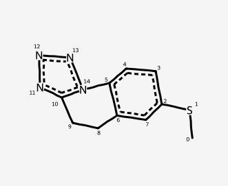 CSc1ccc2c(c1)CCc1nnnn1-2